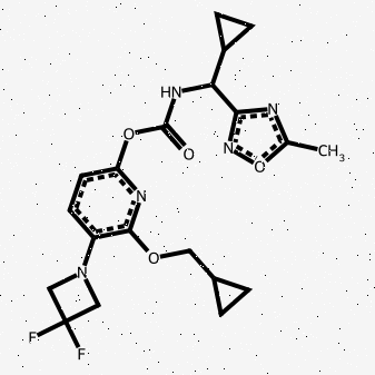 Cc1nc(C(NC(=O)Oc2ccc(N3CC(F)(F)C3)c(OCC3CC3)n2)C2CC2)no1